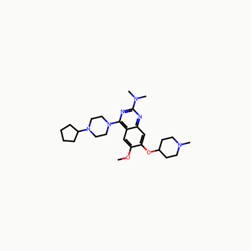 COc1cc2c(N3CCN(C4CCCC4)CC3)nc(N(C)C)nc2cc1OC1CCN(C)CC1